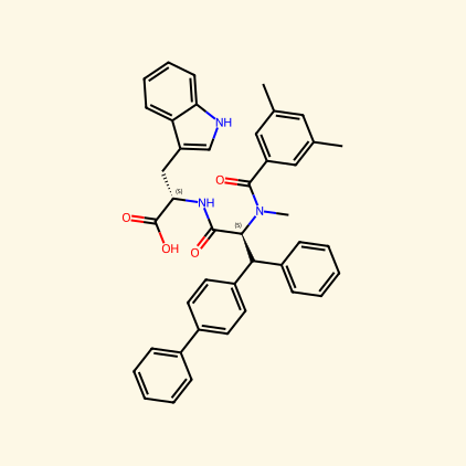 Cc1cc(C)cc(C(=O)N(C)[C@H](C(=O)N[C@@H](Cc2c[nH]c3ccccc23)C(=O)O)C(c2ccccc2)c2ccc(-c3ccccc3)cc2)c1